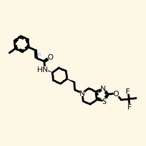 Cc1cccc(/C=C/C(=O)N[C@H]2CC[C@H](CCN3CCc4sc(OCC(C)(F)F)nc4C3)CC2)c1